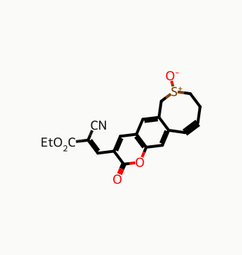 CCOC(=O)C(C#N)=Cc1cc2cc3c(cc2oc1=O)C#CCC[S+]([O-])C3